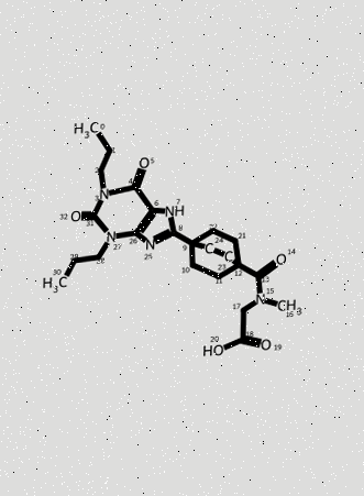 CCCn1c(=O)c2[nH]c(C34CCC(C(=O)N(C)CC(=O)O)(CC3)CC4)nc2n(CCC)c1=O